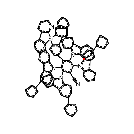 N#Cc1c(-n2c3ccccc3c3cc(-c4ccccc4)ccc32)c(-n2c3ccccc3c3cc(-c4ccccc4)ccc32)c(-c2ccc3c(c2)-c2ccccc2[Si]32c3ncccc3-c3cccnc32)c(-n2c3ccccc3c3cc(-c4ccccc4)ccc32)c1-n1c2ccccc2c2cc(-c3ccccc3)ccc21